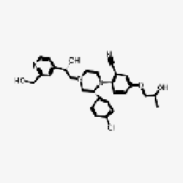 C[C@H](O)COc1ccc(N2CCN(C[C@@H](O)c3ccnc(CO)c3)C[C@H]2c2ccc(Cl)cc2)c(C#N)c1